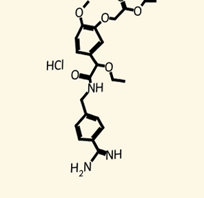 CCOC(=O)COc1cc(C(OCC)C(=O)NCc2ccc(C(=N)N)cc2)ccc1OC.Cl